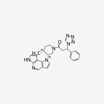 C[C@@H]1CCN(C(=O)CC(c2ccccc2)n2cnnn2)C[C@@H]1n1ccc2cnc3[nH]ccc3c21